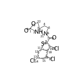 O=C1NC2(CCN(C(=O)c3sc4cc(Cl)cc(Cl)c4c3Cl)C2)CO1